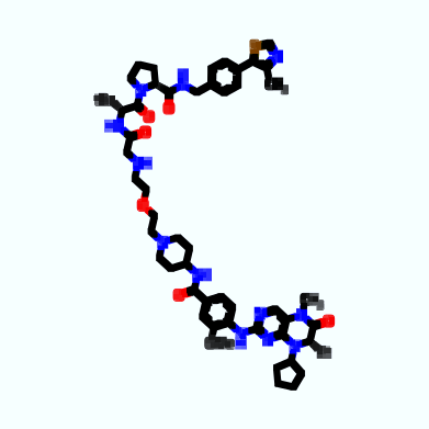 CC[C@@H]1C(=O)N(C)c2cnc(Nc3ccc(C(=O)NC4CCN(CCOCCNCC(=O)N[C@H](C(=O)N5CCC[C@H]5C(=O)NCc5ccc(-c6scnc6C)cc5)C(C)(C)C)CC4)cc3OC)nc2N1C1CCCC1